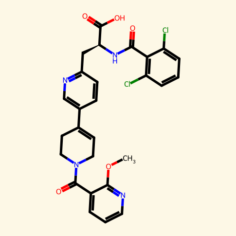 COc1ncccc1C(=O)N1CC=C(c2ccc(C[C@H](NC(=O)c3c(Cl)cccc3Cl)C(=O)O)nc2)CC1